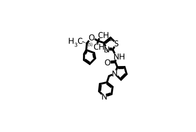 C[C@H](OC(C)(C)c1csc(NC(=O)c2cccn2Cc2ccncc2)n1)c1ccccc1